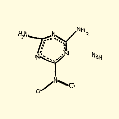 Nc1nc(N)nc(N(Cl)Cl)n1.[NaH]